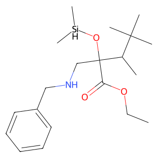 CCOC(=O)C(CNCc1ccccc1)(O[SiH](C)C)C(C)C(C)(C)C